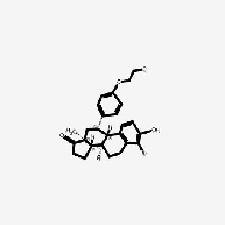 C[C@]12C[C@H](c3ccc(OCCCl)cc3)[C@@H]3c4ccc(O)c(Br)c4CC[C@H]3[C@@H]1CCC2=O